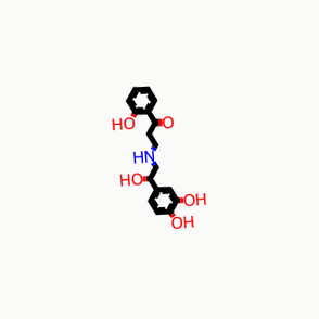 O=C(CCNCC(O)c1ccc(O)c(O)c1)c1ccccc1O